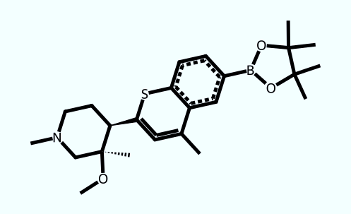 CO[C@@]1(C)CN(C)CC[C@H]1C1=C=C(C)c2cc(B3OC(C)(C)C(C)(C)O3)ccc2S1